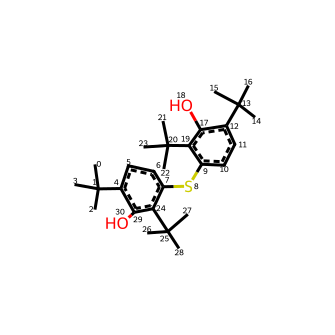 CC(C)(C)c1ccc(Sc2ccc(C(C)(C)C)c(O)c2C(C)(C)C)c(C(C)(C)C)c1O